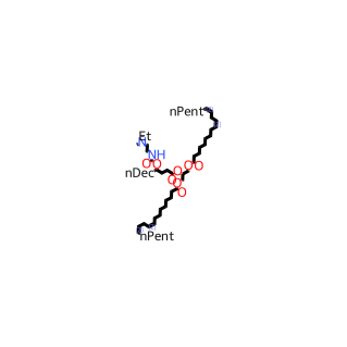 CCCCC/C=C\C/C=C\CCCCCCCC(=O)OCC(COC(=O)CCCCCCC/C=C\C/C=C\CCCCC)OC(=O)CCC(CCCCCCCCCC)OC(=O)NCCN(C)CC